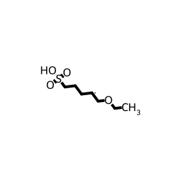 CCOC[CH]CCCS(=O)(=O)O